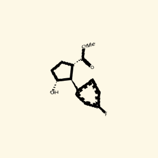 COC(=O)[C@H]1CC[C@@H](O)[C@@H]1c1ccc(F)cc1